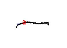 CCCC/C=C\CCCCCCCC(=O)OCCCCCCCCCCCCCCCCCCCCCCCCCCCCCCCC(C)CC